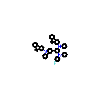 CC1(C)c2ccccc2-c2ccc(N(c3ccccc3)c3cc(-c4ccc5c(c4)c4ccccc4n5-c4ccc5c(c4)C(C)(C)c4ccccc4-5)cc(N(c4ccccc4)c4ccc(F)cc4)c3)cc21